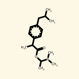 CC(C)Cc1ccc(C(C)C(=O)OC(C)N(C)C)cc1